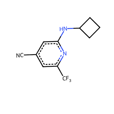 N#Cc1cc(NC2CCC2)nc(C(F)(F)F)c1